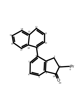 CC(C)C1Cc2c(cccc2-c2cccc3ccccc23)C1=O